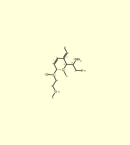 C/C=C(\C=C/C[S+]([O-])CCOC)C(OC)C(N)CF